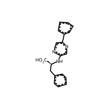 O=C(O)[C@H](Cc1ccccc1)Nc1cnc(-c2ccccc2)cn1